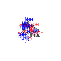 CC(C)C[C@H](NC(=O)[C@@H](COC(C)(C)C)NC(=O)[C@H](Cc1ccc(O)cc1)NC(=O)[C@H](CO)NC(=O)[C@H](Cc1c[nH]c2ccccc12)NC(=O)[C@H](Cc1cnc[nH]1)NC(=O)[C@@H]1CCC(=O)N1)C(=O)N[C@@H](CCCNC(N)=O)C(=O)N1CCC[C@H]1C(=O)NNC(N)=O